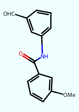 COc1cccc(C(=O)Nc2cccc(C=O)c2)c1